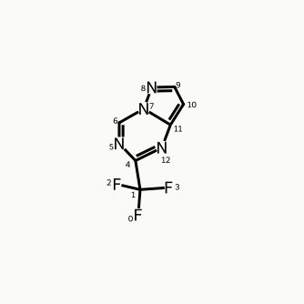 FC(F)(F)c1ncn2nccc2n1